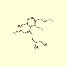 C=C/C=C(/CCC(C)C=C)c1c(C)ccc(CC=C)c1C